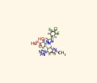 Cc1nc2ccc(-n3ncnc3[C@H]3C[C@@H](n4cc(-c5cc(F)c(Cl)c(F)c5)nn4)[C@@H](O)[C@@H](CO)O3)cc2s1